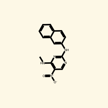 CNc1nc(Nc2ccc3ccccc3c2)ncc1[N+](=O)[O-]